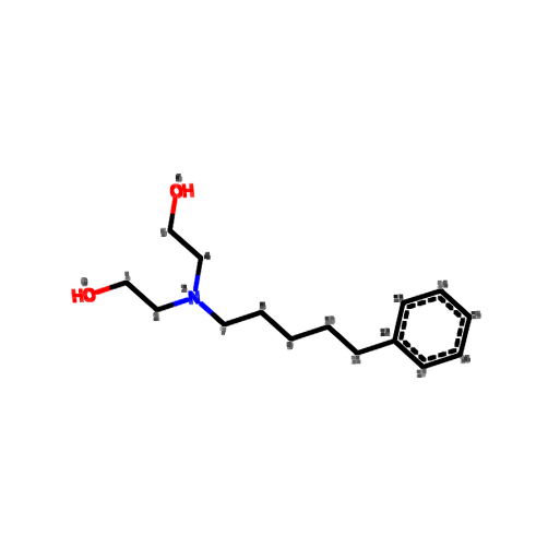 OCCN(CCO)CCCCCc1ccccc1